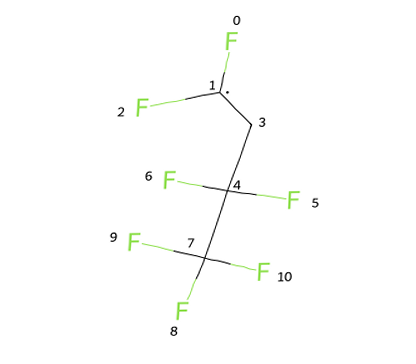 F[C](F)CC(F)(F)C(F)(F)F